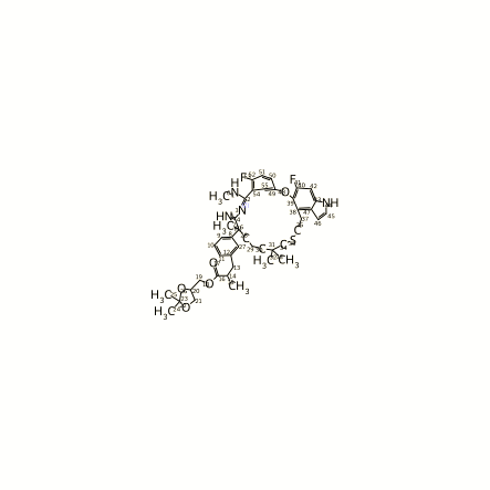 CN/C1=N\C(=N)[C@@](C)(c2cccc(CC(C)C(=O)OCC3COC(C)(C)O3)c2)CCCC(C)(C)CSCCc2c(c(F)cc3[nH]ccc23)Oc2ccc(F)c1c2